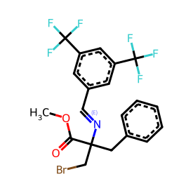 COC(=O)C(CBr)(Cc1ccccc1)/N=C/c1cc(C(F)(F)F)cc(C(F)(F)F)c1